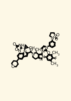 Cc1cc(-n2nc3c(c2-n2ccn(-c4cccc(N5CCCS5(=O)=O)c4)c2=O)[C@H](C)N(C(=O)c2cc4cc(C5CCOCC5)ccc4n2[C@@]2(c4noc(=O)[nH]4)C[C@@H]2C)CC3)cc(C)c1F